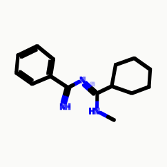 CN/C(=N\C(=N)c1ccccc1)C1CCCCC1